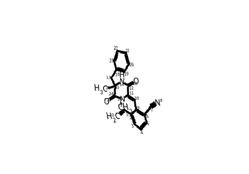 C=Cc1cccc(C#N)c1C=C1C(=O)NC(C)(Cc2ccccc2)C(=O)N1C